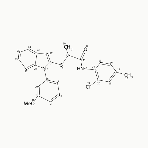 COc1cccc(-n2c(SC(C)C(=O)Nc3ccc(C)cc3Cl)nc3ccccc32)c1